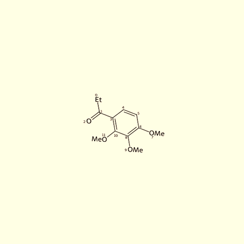 CCC(=O)c1ccc(OC)c(OC)c1OC